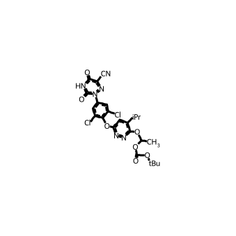 CC(OC(=O)OC(C)(C)C)Oc1nnc(Oc2c(Cl)cc(-n3nc(C#N)c(=O)[nH]c3=O)cc2Cl)cc1C(C)C